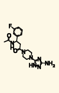 CC(=O)NC(CC(=O)N1CCN(c2nc(N)n[nH]2)CC1)c1cccc(F)c1